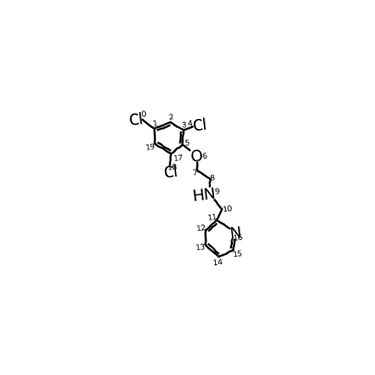 Clc1cc(Cl)c(OCCNCc2ccccn2)c(Cl)c1